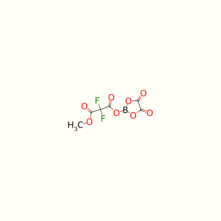 COC(=O)C(F)(F)C(=O)OB1OC(=O)C(=O)O1